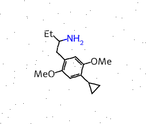 CCC(N)Cc1cc(OC)c(C2CC2)cc1OC